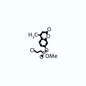 COP(=O)(CCCl)Oc1ccc2c(C)cc(=O)oc2c1